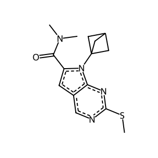 CSc1ncc2cc(C(=O)N(C)C)n(C34CC(C3)C4)c2n1